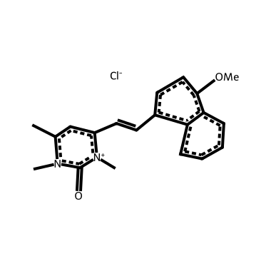 COc1ccc(C=Cc2cc(C)n(C)c(=O)[n+]2C)c2ccccc12.[Cl-]